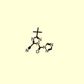 CC(C)(C)c1nc(C#N)n(C(=O)n2cncn2)n1